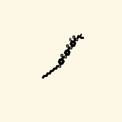 CCCCCCCCCCOc1ccc(C(=O)Oc2ccc(C(=O)Oc3ccc(C(=O)OC[C@@H](C)CC)c(F)c3)cc2)cc1